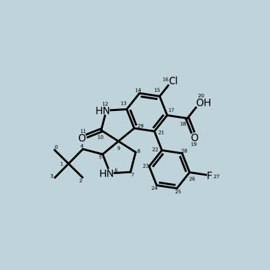 CC(C)(C)CC1NCCC12C(=O)Nc1cc(Cl)c(C(=O)O)c(-c3cccc(F)c3)c12